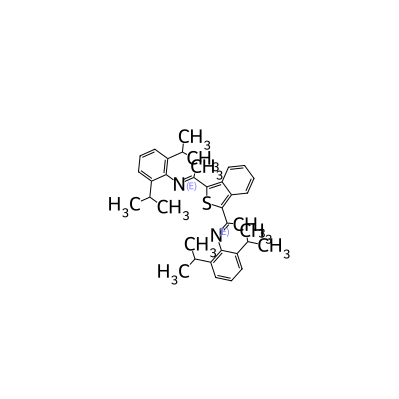 C/C(=N\c1c(C(C)C)cccc1C(C)C)c1sc(/C(C)=N/c2c(C(C)C)cccc2C(C)C)c2ccccc12